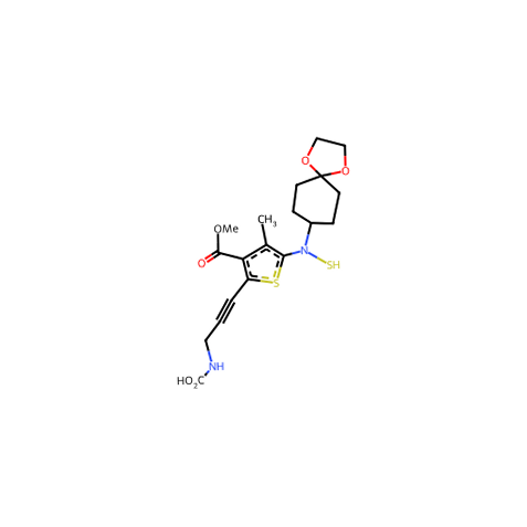 COC(=O)c1c(C#CCNC(=O)O)sc(N(S)C2CCC3(CC2)OCCO3)c1C